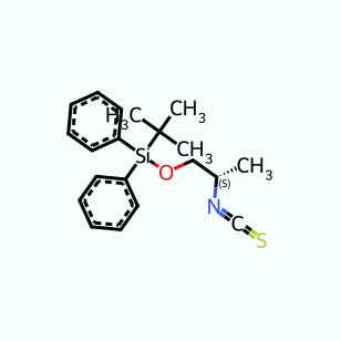 C[C@@H](CO[Si](c1ccccc1)(c1ccccc1)C(C)(C)C)N=C=S